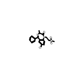 CC1N=C(c2ccccc2)c2cc(Cl)ccc2N(CCS(C)(=O)=O)C1=O